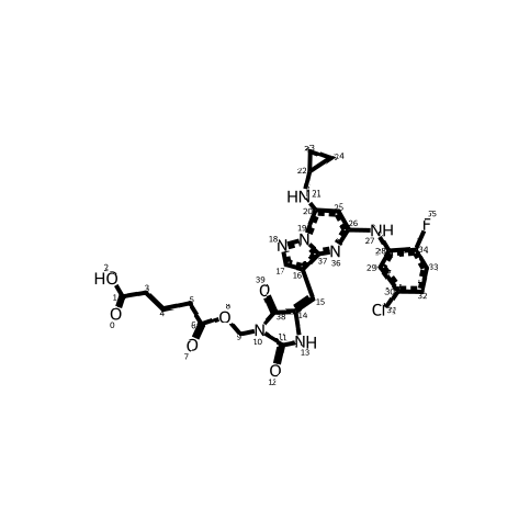 O=C(O)CCCC(=O)OCN1C(=O)NC(=Cc2cnn3c(NC4CC4)cc(Nc4cc(Cl)ccc4F)nc23)C1=O